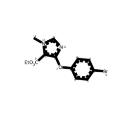 CCOC(=O)c1c(Oc2ccc(Br)cc2)ncn1C